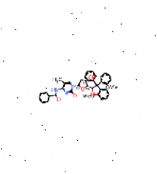 COc1ccccc1C(c1ccccc1)(c1ccccc1OC)C(O)[C@H]1O[C@@H](n2cc(C)c(NC(=O)c3ccccc3)nc2=O)C[C@@H]1O